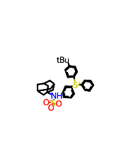 CC(C)(C)c1ccc([S+](c2ccccc2)c2ccccc2)cc1.O=S(=O)([O-])NC12CC3CC(CC(C3)C1)C2